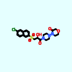 O=C([C@H](O)CS(=O)(=O)c1ccc2cc(Cl)ccc2c1)N1CCN(N2CCOCC2=O)CC1